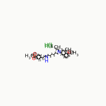 CCCN(CCCCCCNCCc1ccc(S(C)(=O)=O)cc1)C1Cc2cccc(OC)c2C(C)C1.Cl.Cl